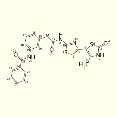 Cc1[nH]c(=O)sc1-c1csc(NC(=O)Cc2cccc(NC(=O)c3ccccc3)c2)n1